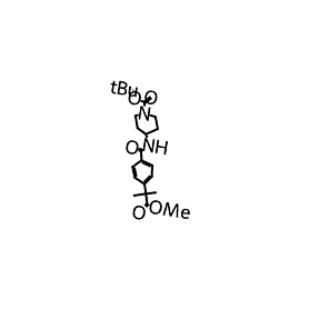 COC(=O)C(C)(C)c1ccc(C(=O)NC2CCN(C(=O)OC(C)(C)C)CC2)cc1